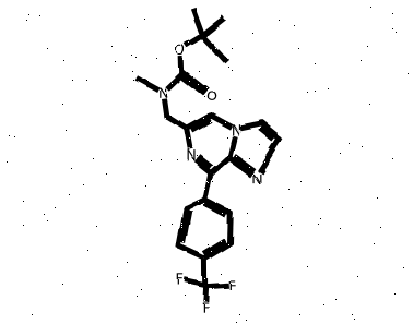 CN(Cc1cn2ccnc2c(-c2ccc(C(F)(F)F)cc2)n1)C(=O)OC(C)(C)C